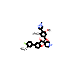 CCOc1cc(C(=O)[C@@H]2C(=O)c3cc(-c4ccc(F)c(C(=O)O)c4)ccc3OC23CCNCC3)cc(OC)c1-c1cnn(C)c1